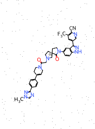 Cn1cnc(-c2ccc(C3=CCN(C(=O)CN4CC[C@]5(CCN(c6ccc7[nH]nc(-c8cnc(C#N)c(C(F)(F)F)c8)c7c6)C5=O)C4)CC3)cc2)n1